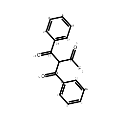 O=C(F)C(C(=O)c1ccccc1)C(=O)c1ccccc1